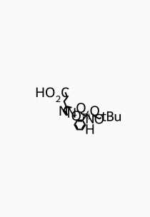 CC(C)(C)OC(=O)N[C@@](C)(C(=O)On1cnc(CCC(=O)O)c1)c1ccccc1